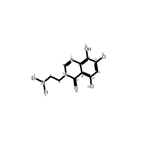 CCN(CC)CCn1cnc2c(O)c(Cl)cc(Cl)c2c1=O